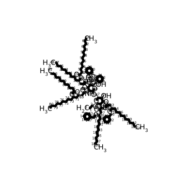 C=CCO[C@H]1O[C@H](CO[C@@H]2O[C@H](CO)[C@@H](OP(=O)(Oc3ccccc3)Oc3ccccc3)[C@H](OC(=O)C[C@@H](CCCCCCCCCCC)OC(=O)CCCCCCCCCCCCC)[C@H]2NC(=O)C[C@@H](CCCCCCCCCCC)OC(=O)CCCCCCCCCCC)[C@@H](O)[C@H](OC(=O)C[C@@H](CCCCCCCCCCC)OCc2ccccc2)[C@H]1NC(=O)C[C@@H](CCCCCCCCCCC)OCc1ccccc1